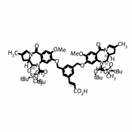 COc1cc2c(cc1OCc1cc(/C=C/C(=O)O)cc(COc3cc4c(cc3OC)C(=O)N3C=C(C)C[C@H]3[C@H](O[Si](C)(C)C(C)(C)C)N4C(=O)OC(C)(C)C)c1)N(C(=O)OC(C)(C)C)[C@@H](O[Si](C)(C)C(C)(C)C)[C@@H]1CC(C)=CN1C2=O